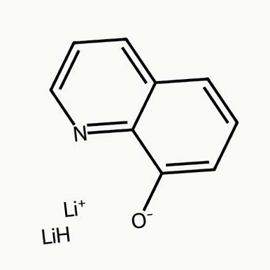 [Li+].[LiH].[O-]c1cccc2cccnc12